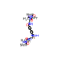 COC(=O)N[C@H](C(=O)N(CCCNC(=O)c1ccc(-c2ccc(-c3c[nH]c([C@]4(CCCNC(=O)[C@](C)(NC(=O)OC)C(C)C)CS4)n3)cc2)cc1)CC(C)I)C(C)C